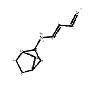 S=[C]C=CNC1CC2CCC1C2